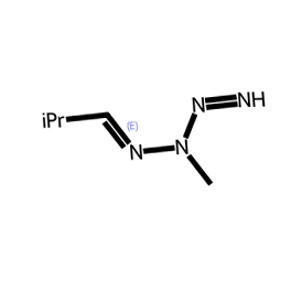 CC(C)/C=N/N(C)N=N